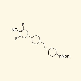 CCCCCCCCC[C@H]1CC[C@H](CCC2CCC(c3cc(F)c(C#N)c(F)c3)CC2)CC1